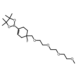 COCCOCCOCCOCC1(F)CC=C(B2OC(C)(C)C(C)(C)O2)CC1